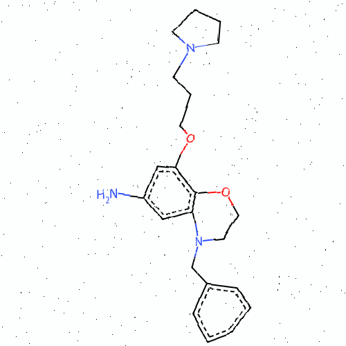 Nc1cc(OCCCN2CCCC2)c2c(c1)N(Cc1ccccc1)CCO2